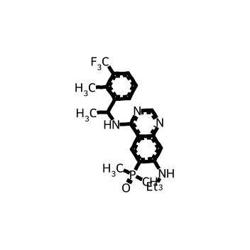 CCNc1cc2ncnc(NC(C)c3cccc(C(F)(F)F)c3C)c2cc1P(C)(C)=O